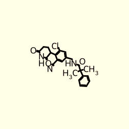 CC(C)(C(=O)NCc1cc(Cl)c(C2CCC(=O)NC2=O)c(C#N)c1)c1ccccc1